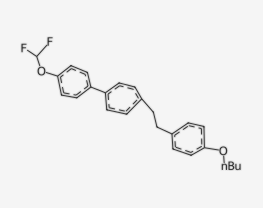 CCCCOc1ccc(CCc2ccc(-c3ccc(OC(F)F)cc3)cc2)cc1